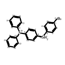 CCC(C)c1ccc([SiH2]c2ccc(N(c3ccccc3)c3ccccc3)cc2)cc1